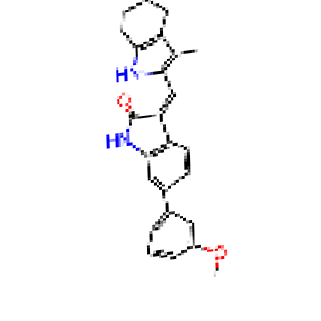 COc1cccc(-c2ccc3c(c2)NC(=O)C3=Cc2[nH]c3c(c2C)CCCC3)c1